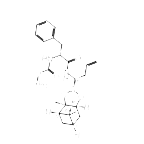 C=CC[C@H](NC(=O)[C@H](Cc1ccccc1)NC(=O)OC(C)(C)C)B1O[C@@H]2C[C@@H]3C[C@@H](C3(C)C)[C@]2(C)O1